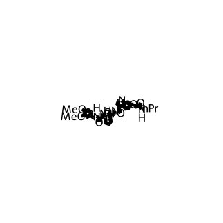 CCCNC(=O)COc1ccc2c(C(=O)NCC(=O)N3CCC[C@H]3C(=N)C(=O)NCc3ccc(OC)c(OC)c3)ccnc2c1